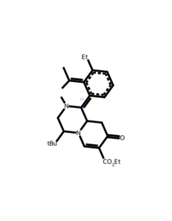 CCOC(=O)C1=CN2C(CC1=O)/C(=c1\cccc(CC)c1=C(C)C)N(C)CC2C(C)(C)C